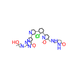 COc1nc(-c2cccc(-c3ccnc(-c4cc5c(OC)nc(CN6CC(C)(O)C6)nn5c4)c3Cl)c2Cl)ccc1CNC[C@H]1CCC(=O)N1